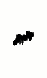 Fc1cccc(F)c1CNC1CCC(Nc2ccnc3cc(Cl)ccc23)CC1